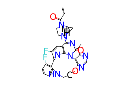 C=CC(=O)N1CCN(c2nc(=O)n3c4nc(c(F)cc24)-c2c(F)cccc2NCCOc2ncnc(C(C)C)c2-3)[C@H]2C[C@H]21